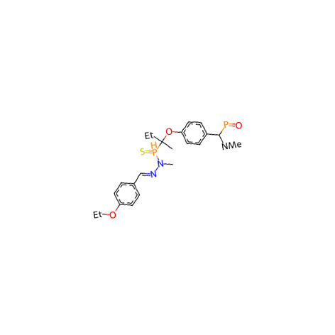 CCOc1ccc(/C=N/N(C)[PH](=S)C(C)(CC)Oc2ccc(C(NC)P=O)cc2)cc1